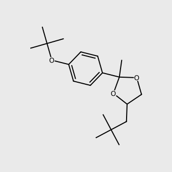 CC(C)(C)CC1COC(C)(c2ccc(OC(C)(C)C)cc2)O1